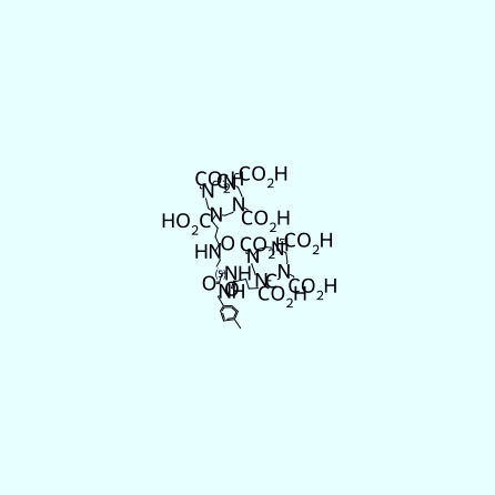 Cc1ccc(CNC(=O)[C@H](CCNC(=O)CCC(C(=O)O)N2CCN(CC(=O)O)CCN(CC(=O)O)CCN(CC(=O)O)CC2)NC(=O)CCC(C(=O)O)N2CCN(CC(=O)O)CCN(CC(=O)O)CCN(CC(=O)O)CC2)cc1